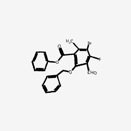 Cc1c(Br)c(F)c(C=O)c(OCc2ccccc2)c1C(=O)Oc1ccccc1